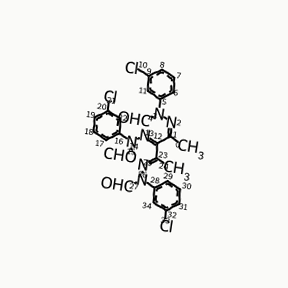 CC(=NN(C=O)c1cccc(Cl)c1)C(=NN(C=O)c1cccc(Cl)c1)C(C)=NN(C=O)c1cccc(Cl)c1